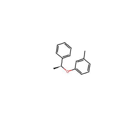 Cc1cccc(O[C@@H](C)c2ccccc2)c1